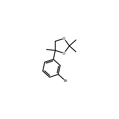 CC1(C)OCC(C)(c2cccc(Br)c2)O1